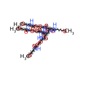 COCCCCCCNC(=O)CC(CCC(=O)NCCOCCOCC(=O)NCCCCCOC)NC(=O)CC(CCC(=O)NCCOCCOCC(=O)NCCCCCOC)NC(=O)CNC(=O)COCCOCCNC(=O)CCCCOC